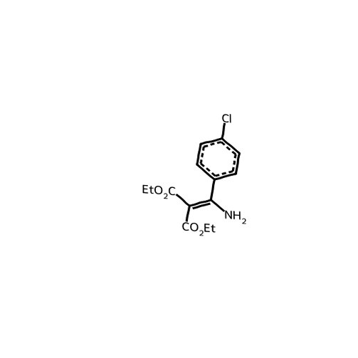 CCOC(=O)C(C(=O)OCC)=C(N)c1ccc(Cl)cc1